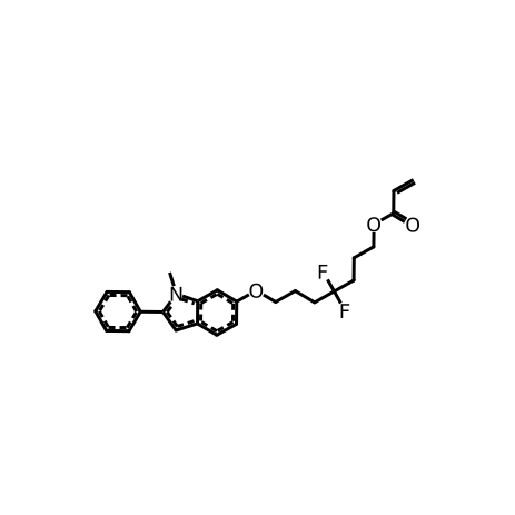 C=CC(=O)OCCCC(F)(F)CCCOc1ccc2cc(-c3ccccc3)n(C)c2c1